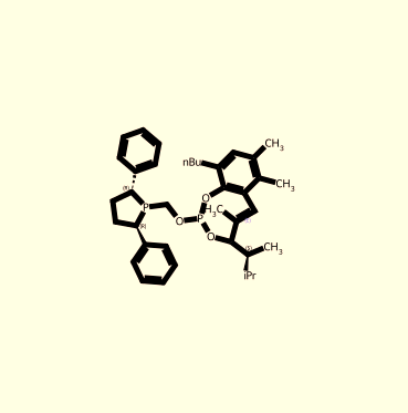 CCCCc1cc(C)c(C)c2c1OP(OCP1[C@@H](c3ccccc3)CC[C@@H]1c1ccccc1)OC([C@@H](C)C(C)C)/C(C)=C/2